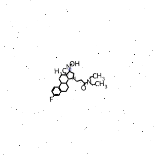 CCN(CC)C(=O)CC[C@@H]1C/C(=N\O)[C@@]2(C)CCC3c4ccc(F)cc4CCC3C12